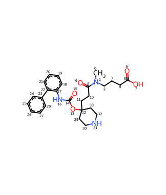 CN(CCCC(=O)O)C(=O)CCC1(OC(=O)Nc2ccccc2-c2ccccc2)CCNCC1